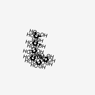 OC[C@@H](O)[C@@H](O[C@H]1O[C@H](CO)[C@@H](O[C@H]2O[C@H](CO)[C@@H](O[C@H]3O[C@H](CO)[C@@H](O[C@H]4O[C@H](CO)[C@@H](O[C@H]5O[C@H](CO)[C@@H](O)[C@H](O)[C@H]5O)[C@H](O)[C@H]4O)[C@H](O)[C@H]3O)[C@H](O)[C@H]2O)[C@H](O)[C@H]1O)[C@H](O)[C@@H](O)CO